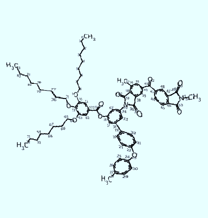 CCCCCCCCCOc1cc(C(=O)Oc2cc(-c3ccc(Oc4ccc(C)cc4)cc3)cc(N3C(=O)c4cc(C(=O)c5ccc6c(c5)C(=O)N(C)C6=O)cc(C)c4C3=O)c2)cc(OCCCCCCCC)c1OCCCCCCCCC